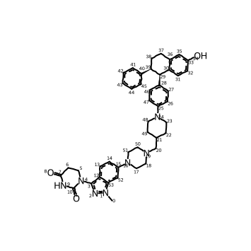 Cn1nc(N2CCC(=O)NC2=O)c2ccc(N3CCN(CC4CCN(c5ccc([C@@H]6c7ccc(O)cc7CC[C@@H]6c6ccccc6)cc5)CC4)CC3)cc21